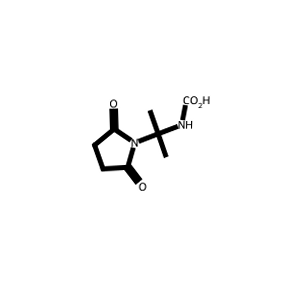 CC(C)(NC(=O)O)N1C(=O)CCC1=O